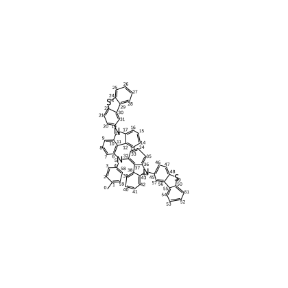 Cc1ccc(N(c2cccc3c2c2ccccc2n3-c2ccc3sc4ccccc4c3c2)c2cccc3c2c2ccccc2n3-c2ccc3sc4ccccc4c3c2)cc1